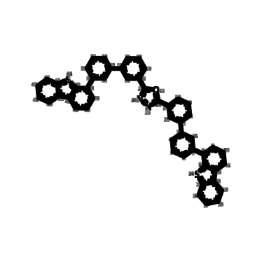 c1cc(-c2cccc(-c3cccc4c3sc3ccccc34)c2)cc(-c2nnc(-c3cccc(-c4cccc(-c5cccc6c5sc5ccccc56)c4)c3)o2)c1